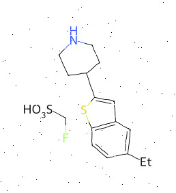 CCc1ccc2sc(C3CCNCC3)cc2c1.O=S(=O)(O)CF